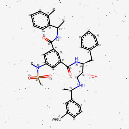 COc1cccc([C@@H](C)NC[C@@H](O)[C@H](Cc2ccccc2)NC(=O)c2cc(C(=O)NC(C)c3ccccc3C)cc(N(C)S(C)(=O)=O)c2)c1